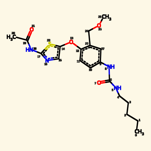 CCCCCNC(=O)Nc1ccc(Oc2cnc(NC(C)=O)s2)c(COC)c1